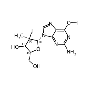 C[C@@]1(I)[C@H](O)[C@@H](CO)O[C@H]1n1cnc2c(OI)nc(N)nc21